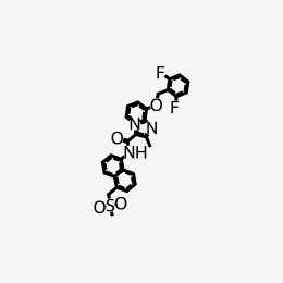 Cc1nc2c(OCc3c(F)cccc3F)cccn2c1C(=O)Nc1cccc2c(CS(C)(=O)=O)cccc12